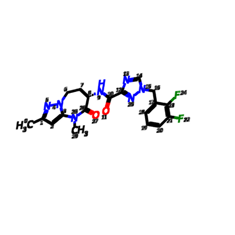 Cc1cc2n(n1)CC[C@H](NC(=O)c1ncn(Cc3cccc(F)c3F)n1)C(=O)N2C